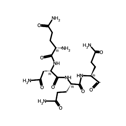 NC(=O)CC[C@@H]([C]=O)NC(=O)[C@H](CCC(N)=O)NC(=O)[C@H](CC(N)=O)NC(=O)[C@@H](N)CCC(N)=O